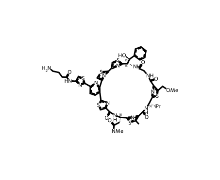 CNC(=O)C[C@@H]1NC(=O)c2csc(n2)-c2ccc(-c3nc(NC(=O)CCCN)cs3)nc2-c2csc(n2)-c2csc(n2)[C@H]([C@@H](O)c2ccccc2)NC(=O)CNC(=O)c2nc(sc2COC)[C@H](C(C)C)NC(=O)c2nc1sc2C